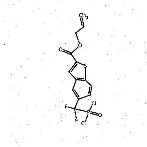 C=CCOC(=O)c1cc2cc(C(F)(F)P(=O)(Cl)Cl)ccc2s1